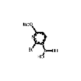 CCc1nc(OC)ccc1B(O)O